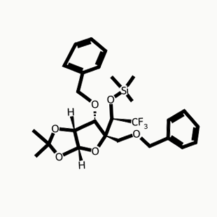 CC1(C)O[C@H]2O[C@@](COCc3ccccc3)([C@@H](O[Si](C)(C)C)C(F)(F)F)[C@@H](OCc3ccccc3)[C@H]2O1